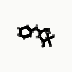 CC(OB(O)Oc1ccncc1)C(C)(C)C